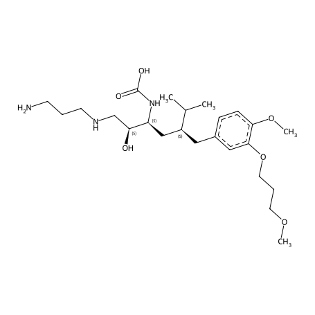 COCCCOc1cc(C[C@@H](C[C@H](NC(=O)O)[C@@H](O)CNCCCN)C(C)C)ccc1OC